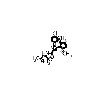 COc1cccc(OC)c1-c1cc(C(=O)N[C@@H](CC(C)C)C(=O)O)nn1-c1ccc(Cl)cc1